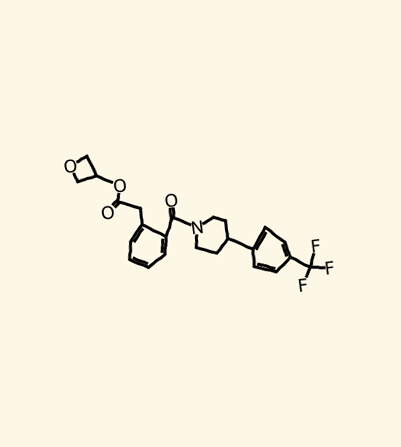 O=C(Cc1ccccc1C(=O)N1CCC(c2ccc(C(F)(F)F)cc2)CC1)OC1COC1